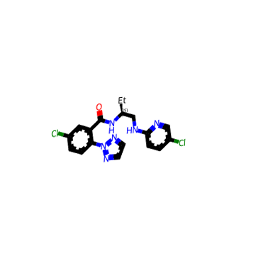 CC[C@@H](CNc1ccc(Cl)cn1)NC(=O)c1cc(Cl)ccc1-n1nccn1